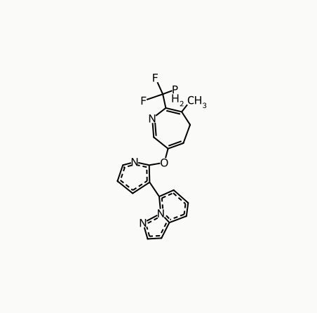 CC1=C(C(F)(F)P)N=CC(Oc2ncccc2-c2cccc3ccnn23)=CC1